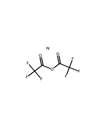 O=C(OC(=O)C(F)(F)F)C(F)(F)F.[N]